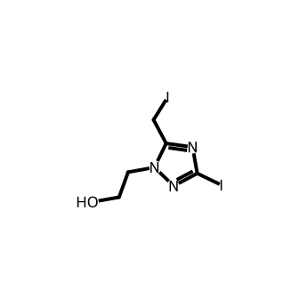 OCCn1nc(I)nc1CI